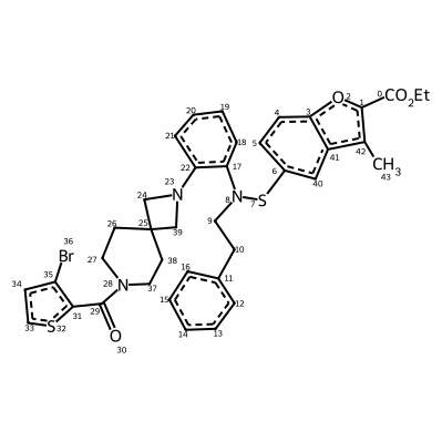 CCOC(=O)c1oc2ccc(SN(CCc3ccccc3)c3ccccc3N3CC4(CCN(C(=O)c5sccc5Br)CC4)C3)cc2c1C